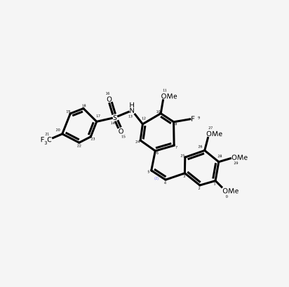 COc1cc(/C=C\c2cc(F)c(OC)c(NS(=O)(=O)c3ccc(C(F)(F)F)cc3)c2)cc(OC)c1OC